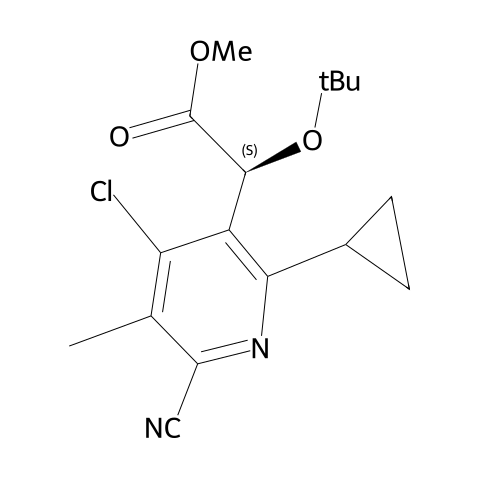 COC(=O)[C@@H](OC(C)(C)C)c1c(C2CC2)nc(C#N)c(C)c1Cl